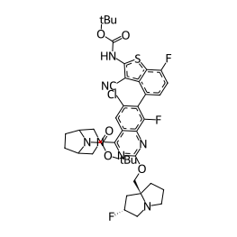 CC(C)(C)OC(=O)Nc1sc2c(F)ccc(-c3c(Cl)cc4c(N5CC6CCC(C5)N6C(=O)OC(C)(C)C)nc(OC[C@@]56CCCN5C[C@H](F)C6)nc4c3F)c2c1C#N